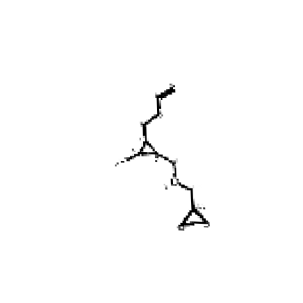 C=CCCC1C(F)C1COCC1CC1